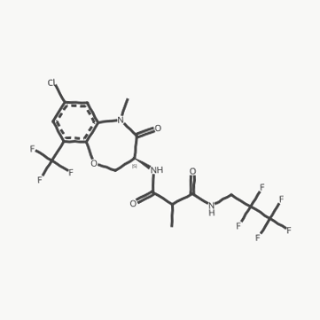 CC(C(=O)NCC(F)(F)C(F)(F)F)C(=O)N[C@H]1COc2c(cc(Cl)cc2C(F)(F)F)N(C)C1=O